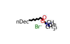 CCCCCCCCCCCCCCCCCC(=O)OCC[N+](C)(C)C.[Br-]